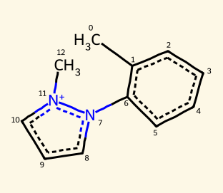 Cc1ccccc1-n1ccc[n+]1C